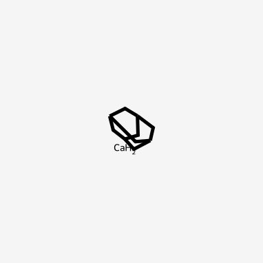 C1C2CC3CC1CC(C2)C3.[CaH2]